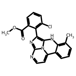 COC(=O)c1cccc(Cl)c1-c1nc2nccc3n2c1Nc1c(C)cccc1-3